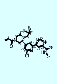 C=CC(=O)N1C[C@@H](C)N(CC(F)(F)F)[C@@H](c2cc(Cl)nc(-c3cc(C(=O)NC)ncn3)c2)C1